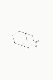 O=S1(=O)CC2CNCC(C2)C1